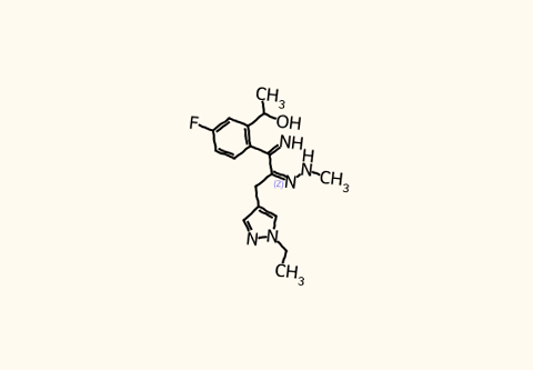 CCn1cc(C/C(=N/NC)C(=N)c2ccc(F)cc2C(C)O)cn1